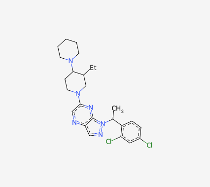 CCC1CN(c2cnc3cnn(C(C)c4ccc(Cl)cc4Cl)c3n2)CCC1N1CCCCC1